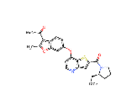 CNC(=O)c1c(C)oc2cc(Oc3ccnc4cc(C(=O)N5CCC[C@H]5COC)sc34)ccc12